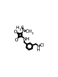 CN(C)c1c(NCc2cccc(CNCl)c2)c(=O)c1=O